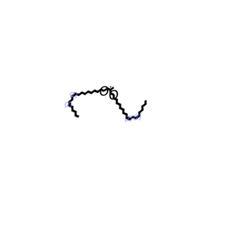 CCCCC/C=C\C/C=C\CCCCCCCCOC[C](C)COCCCCCCCC/C=C\C/C=C\CCCCC